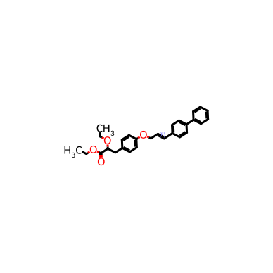 CCOC(=O)C(Cc1ccc(OC/C=C/c2ccc(-c3ccccc3)cc2)cc1)OCC